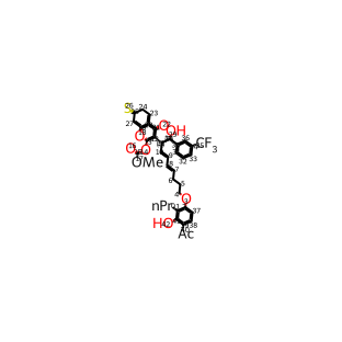 CCCc1c(OCCCC=CC=C[C@@H](c2c(OC(=O)OC)oc3c(c2=O)=CCC(=S)C=3)[C@@H](O)c2cccc(C(F)(F)F)c2)ccc(C(C)=O)c1O